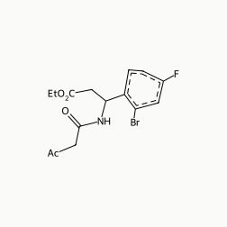 CCOC(=O)CC(NC(=O)CC(C)=O)c1ccc(F)cc1Br